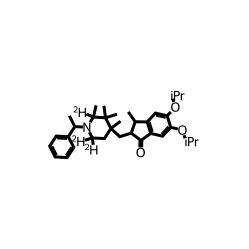 [2H]C1([2H])CC(C)(CC2C(=O)c3cc(OC(C)C)c(OC(C)C)cc3C2C)C(C)(C)C([2H])(C)N1C(C)c1ccccc1